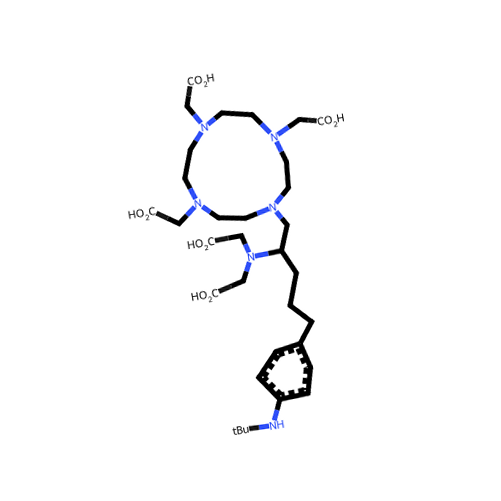 CC(C)(C)Nc1ccc(CCCC(CN2CCN(CC(=O)O)CCN(CC(=O)O)CCN(CC(=O)O)CC2)N(CC(=O)O)CC(=O)O)cc1